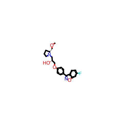 COC[C@H]1CCCN1C[C@@H](O)COc1ccc(-c2noc3cc(F)ccc23)cc1